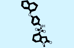 CN1C(=O)Cc2c1cccc2S(=O)(=O)Nc1ccc(Oc2cccc3ccccc23)cc1